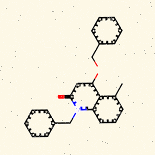 Cc1cccc2c1c(OCc1ccccc1)cc(=O)n2Cc1ccccc1